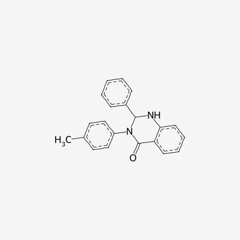 Cc1ccc(N2C(=O)c3ccccc3NC2c2ccccc2)cc1